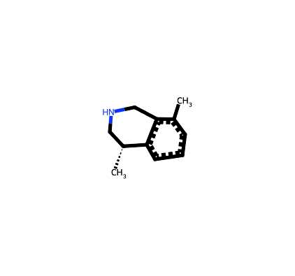 Cc1cccc2c1CNC[C@H]2C